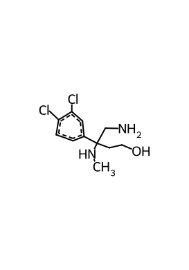 CNC(CN)(CCO)c1ccc(Cl)c(Cl)c1